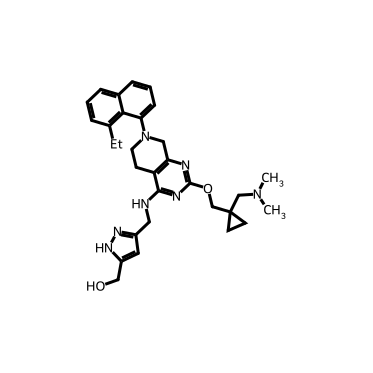 CCc1cccc2cccc(N3CCc4c(nc(OCC5(CN(C)C)CC5)nc4NCc4cc(CO)[nH]n4)C3)c12